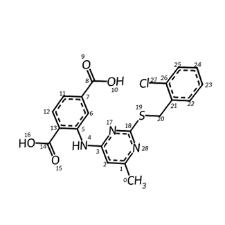 Cc1cc(Nc2cc(C(=O)O)ccc2C(=O)O)nc(SCc2ccccc2Cl)n1